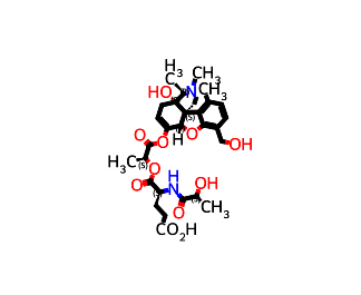 Cc1ccc(CO)c2c1[C@]13CCN(C)[C@H](C)[C@]1(O)CC=C(OC(=O)[C@H](C)OC(=O)[C@H](CCC(=O)O)NC(=O)[C@H](C)O)[C@@H]3O2